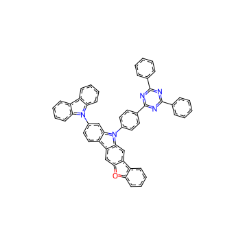 c1ccc(-c2nc(-c3ccccc3)nc(-c3ccc(-n4c5cc(-n6c7ccccc7c7ccccc76)ccc5c5cc6oc7ccccc7c6cc54)cc3)n2)cc1